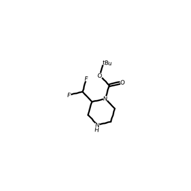 CC(C)(C)OC(=O)N1CCNCC1C(F)F